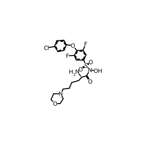 N[C@H](CCCCN1CCOCC1)C(=O)N(O)S(=O)(=O)c1cc(F)c(Oc2ccc(Cl)cc2)c(F)c1